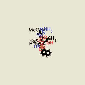 COc1nc(N)nc2c1ncn2CO[C@H](COP(=O)(N[C@H](C)C(=O)OCC(C)(C)C)Oc1ccc2ccccc2c1)[C@@H](O)C(C)O